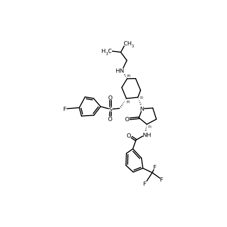 CC(C)CN[C@@H]1CC[C@H](N2CC[C@H](NC(=O)c3cccc(C(F)(F)F)c3)C2=O)[C@H](CS(=O)(=O)c2ccc(F)cc2)C1